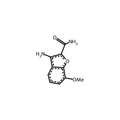 COc1cccc2c(N)c(C(N)=O)oc12